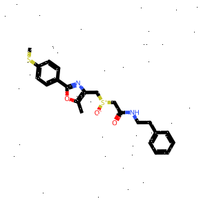 CSc1ccc(-c2nc(C[S+]([O-])CC(=O)NCCc3ccccc3)c(C)o2)cc1